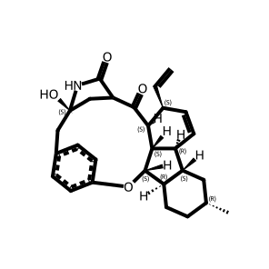 C=C[C@H]1C=C[C@H]2[C@@H]3C[C@H](C)CC[C@H]3[C@@H]3Oc4ccc(cc4)C[C@@]4(O)CC(C(=O)N4)C(=O)[C@@H]1[C@H]23